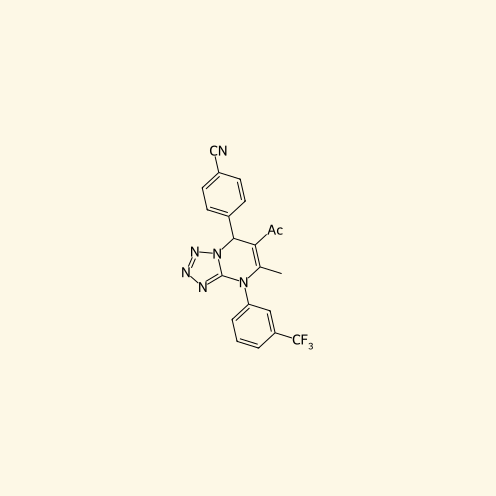 CC(=O)C1=C(C)N(c2cccc(C(F)(F)F)c2)c2nnnn2C1c1ccc(C#N)cc1